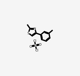 Cc1cccc(-c2csc(C)n2)c1.O=S(=O)(Cl)Cl